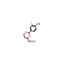 CCCCCC1CCOC(c2ccc(C#N)c(F)c2)O1